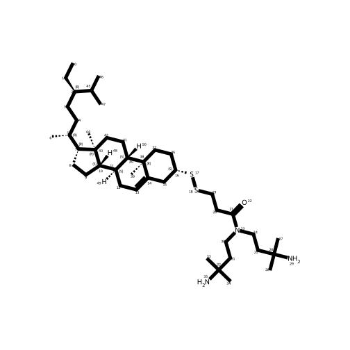 CC[C@H](CC[C@@H](C)[C@H]1CC[C@H]2[C@@H]3CC=C4C[C@@H](SSCCC(=O)N(CCC(C)(C)N)CCC(C)(C)N)CC[C@]4(C)[C@H]3CC[C@]12C)C(C)C